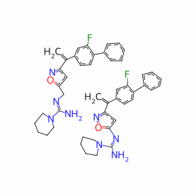 C=C(c1ccc(-c2ccccc2)c(F)c1)c1cc(/N=C(/N)N2CCCCC2)on1.C=C(c1ccc(-c2ccccc2)c(F)c1)c1cc(C/N=C(\N)N2CCCCC2)on1